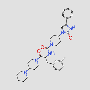 Cc1cccc(CC(NC(=O)N2CCC(n3cc(-c4ccccc4)[nH]c3=O)CC2)C(=O)N2CCC(N3CCCCC3)CC2)c1